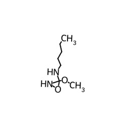 CCCCCNC1(OC)NO1